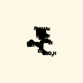 CCOc1ccc(N(CCS(=O)(=O)NC2C(OC3C(CO)OC(C(C)C)C(NC(C)=O)C3O)OC(CO)C(OC(C)C)C2O)c2ccc(/C(=C3C=C/C(=[N+](/CC)Cc4cccc(S(=O)(=O)[O-])c4)C=C\3C)c3ccc(N(CC)Cc4cccc(S(=O)(=O)O)c4)cc3C)cc2)cc1